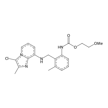 COCCOC(=O)Nc1cccc(C)c1CNc1cccn2c(Cl)c(C)nc12